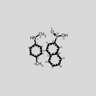 CNc1ccc(C)cc1.O=S(O)c1ccc2ccccc2c1